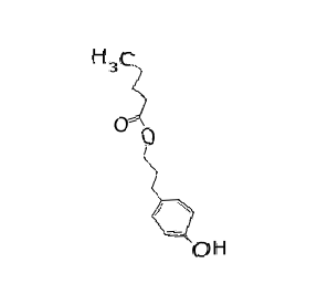 CCCCC(=O)OCCCc1ccc(O)cc1